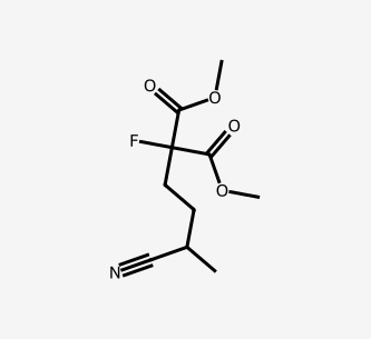 COC(=O)C(F)(CCC(C)C#N)C(=O)OC